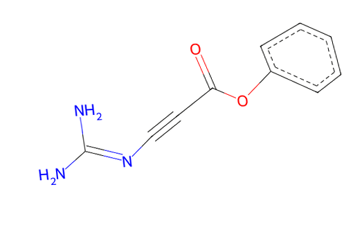 NC(N)=NC#CC(=O)Oc1ccccc1